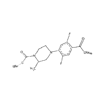 COC(=O)c1cc(F)c(N2CCN(C(=O)OC(C)(C)C)C(C)C2)cc1F